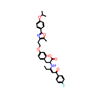 CC/C(=C/C(=O)c1ccc(F)cc1)NC(Cc1ccc(OCCc2nc(-c3ccc(OC(C)C)cc3)oc2C)cc1)C(=O)O